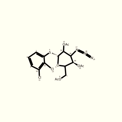 CC(=O)OCC1O[C@H](Sc2cccc(Cl)c2Cl)C(OC(C)=O)C(N=[N+]=[N-])[C@H]1OC(C)=O